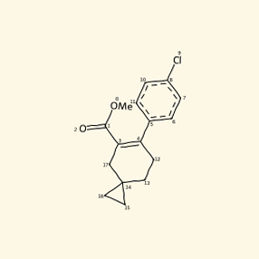 COC(=O)C1=C(c2ccc(Cl)cc2)CCC2(CC2)C1